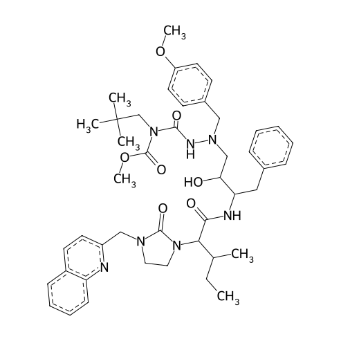 CCC(C)C(C(=O)NC(Cc1ccccc1)C(O)CN(Cc1ccc(OC)cc1)NC(=O)N(CC(C)(C)C)C(=O)OC)N1CCN(Cc2ccc3ccccc3n2)C1=O